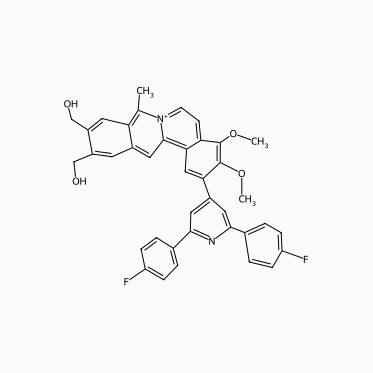 COc1c(-c2cc(-c3ccc(F)cc3)nc(-c3ccc(F)cc3)c2)cc2c(cc[n+]3c(C)c4cc(CO)c(CO)cc4cc23)c1OC